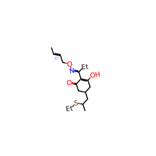 C/C=C/CON=C(CC)C1=C(O)CC(CC(C)SCC)CC1=O